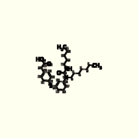 CCCCCCCN(C(=O)NCCCCC)c1cccc(Sc2ccc(CC(=O)O)cc2)c1